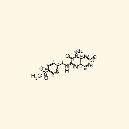 CC[C@H](C)n1c(=O)c(NCc2ccc(S(C)(=O)=O)cn2)nc2cnc(Cl)nc21